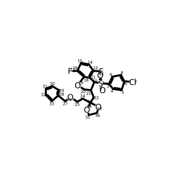 O=S(=O)(c1ccc(Cl)cc1)C1c2c(F)ccc(F)c2OCC1CC1(CCOCc2ccccc2)OCCO1